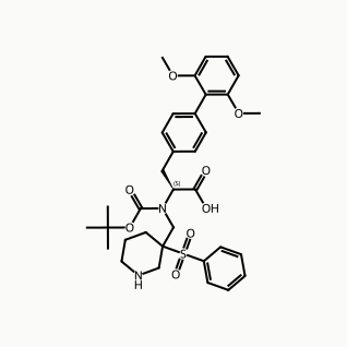 COc1cccc(OC)c1-c1ccc(C[C@@H](C(=O)O)N(CC2(S(=O)(=O)c3ccccc3)CCCNC2)C(=O)OC(C)(C)C)cc1